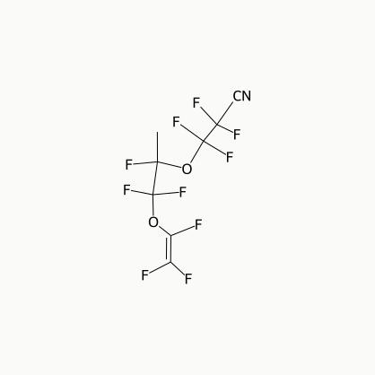 CC(F)(OC(F)(F)C(F)(F)C#N)C(F)(F)OC(F)=C(F)F